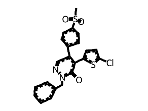 CS(=O)(=O)c1ccc(-c2cnn(Cc3ccccc3)c(=O)c2-c2ccc(Cl)s2)cc1